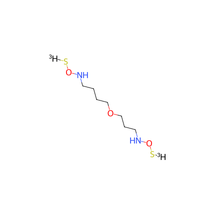 [3H]SONCCCCOCCCNOS[3H]